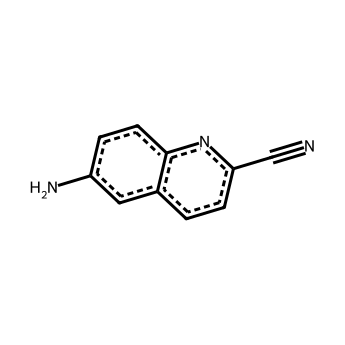 N#Cc1ccc2cc(N)ccc2n1